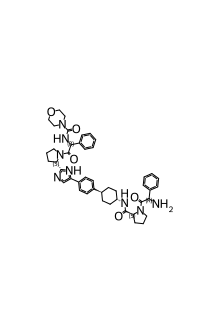 N[C@@H](C(=O)N1CCC[C@H]1C(=O)N[C@H]1CC[C@H](c2ccc(-c3cnc([C@@H]4CCCN4C(=O)[C@H](NC(=O)N4CCOCC4)c4ccccc4)[nH]3)cc2)CC1)c1ccccc1